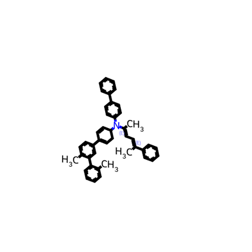 C/C(=C\C=C(/C)N(c1ccc(-c2ccccc2)cc1)C1C=CC(c2ccc(C)c(-c3ccccc3C)c2)=CC1)c1ccccc1